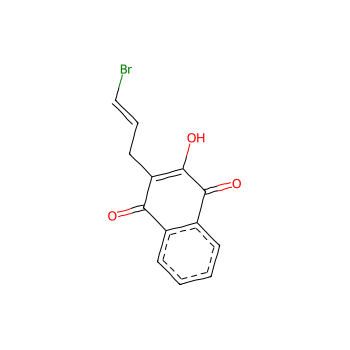 O=C1C(O)=C(CC=CBr)C(=O)c2ccccc21